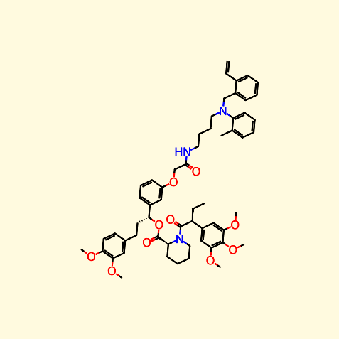 C=Cc1ccccc1CN(CCCCNC(=O)COc1cccc([C@@H](CCc2ccc(OC)c(OC)c2)OC(=O)[C@@H]2CCCCN2C(=O)[C@@H](CC)c2cc(OC)c(OC)c(OC)c2)c1)c1ccccc1C